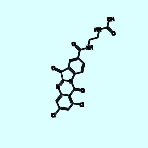 O=C(O)NCCNC(=O)c1ccc2c(c1)C(=O)c1nc3cc(Cl)cc(Cl)c3c(=O)n1-2